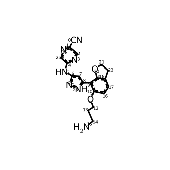 N#Cc1cnc(Nc2cc(-c3c(OCCCN)ccc4c3OCC4)[nH]n2)cn1